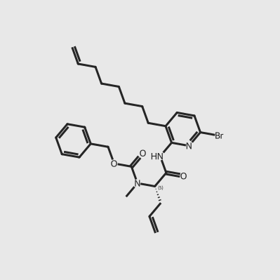 C=CCCCCCCc1ccc(Br)nc1NC(=O)[C@H](CC=C)N(C)C(=O)OCc1ccccc1